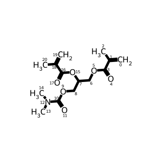 C=C(C)C(=O)OCC(COC(=O)N(C)C)OC(=O)C(=C)C